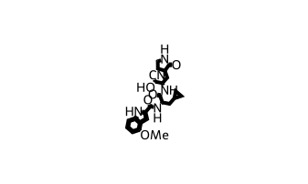 COc1cccc2[nH]c(C(=O)NC(CC3CC3)C(=O)NC(CC3CCNC3=O)C(O)C#N)cc12